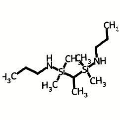 CCCN[Si](C)(C)C(C)[Si](C)(C)NCCC